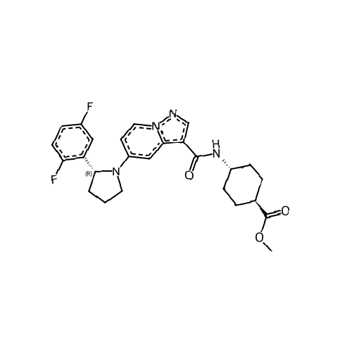 COC(=O)[C@H]1CC[C@H](NC(=O)c2cnn3ccc(N4CCC[C@@H]4c4cc(F)ccc4F)cc23)CC1